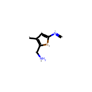 C=Nc1cc(C)c(CN)s1